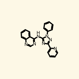 c1ccc(-n2nc(-c3ccccn3)nc2Nc2ncnc3ccccc23)cc1